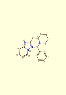 c1ccc(CN2CCCCC2Cc2nc3ccccn3n2)cc1